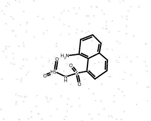 Nc1cccc2cccc(S(=O)(=O)N[SH](=O)=O)c12